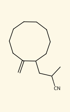 C=C1CCCCCCCCC1CC(C)C#N